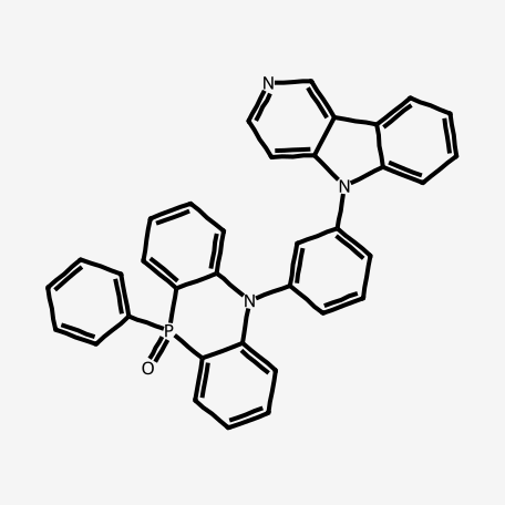 O=P1(c2ccccc2)c2ccccc2N(c2cccc(-n3c4ccccc4c4cnccc43)c2)c2ccccc21